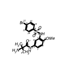 COc1ccc(NC(=O)C(C)(C)N)cc1NS(=O)(=O)c1ccc(Br)cc1